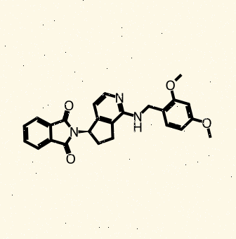 COc1ccc(CNc2nccc3c2CC[C@H]3N2C(=O)c3ccccc3C2=O)c(OC)c1